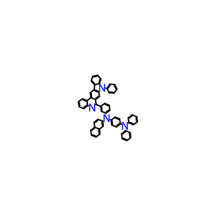 c1ccc(N(c2ccccc2)c2ccc(N(c3cccc(-c4nc5ccccc5c5cc6c7ccccc7n(-c7ccccc7)c6cc45)c3)c3ccc4ccccc4c3)cc2)cc1